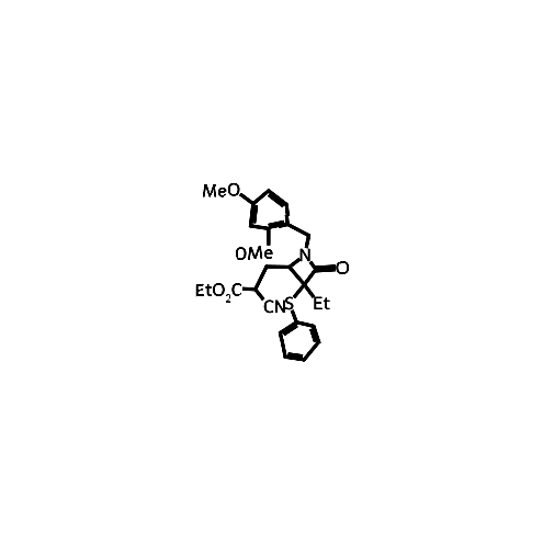 CCOC(=O)C(C#N)CC1N(Cc2ccc(OC)cc2OC)C(=O)C1(CC)Sc1ccccc1